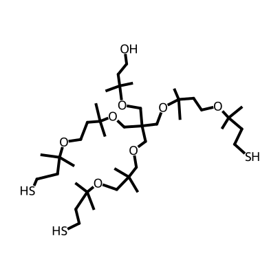 CC(C)(COCC(COC(C)(C)CCO)(COC(C)(C)CCOC(C)(C)CCS)COC(C)(C)CCOC(C)(C)CCS)COC(C)(C)CCS